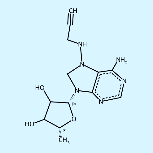 C#CCNN1CN([C@@H]2O[C@H](C)C(O)C2O)c2ncnc(N)c21